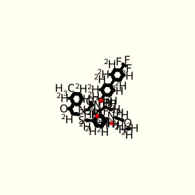 [2H]c1c([2H])c(F)c(F)c(C([2H])([2H])Sc2c([2H])c(=O)c3c([2H])c(C)c([2H])c([2H])c3n2CC(=O)N(C([2H])([2H])c2c([2H])c([2H])c(-c3c([2H])c([2H])c(C(F)(F)F)c([2H])c3[2H])c([2H])c2[2H])C2([2H])C([2H])([2H])C([2H])([2H])N(C([2H])([2H])C([2H])([2H])OC([2H])([2H])[2H])C([2H])([2H])C2([2H])[2H])c1[2H]